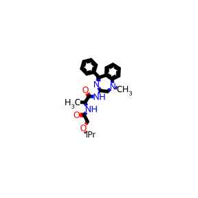 CC(C)OCC(=O)NC(C)C(=O)N[C@@H]1CN(C)c2ccccc2C(c2ccccc2)=N1